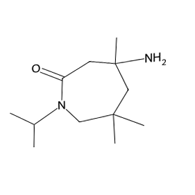 CC(C)N1CC(C)(C)CC(C)(N)CC1=O